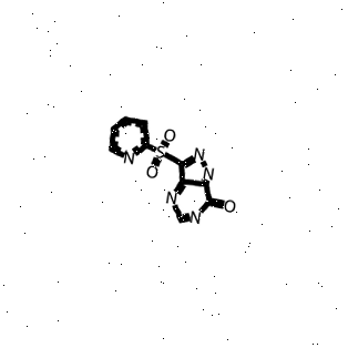 O=C1N=CN=C2C1=NN=C2S(=O)(=O)c1ccccn1